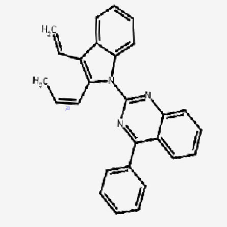 C=Cc1c(/C=C\C)n(-c2nc(-c3ccccc3)c3ccccc3n2)c2ccccc12